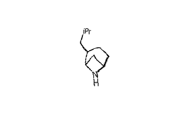 CC(C)CC1CCC2CC1N2